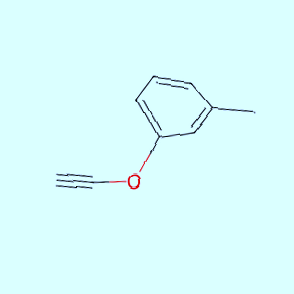 C#COc1cccc(C)c1